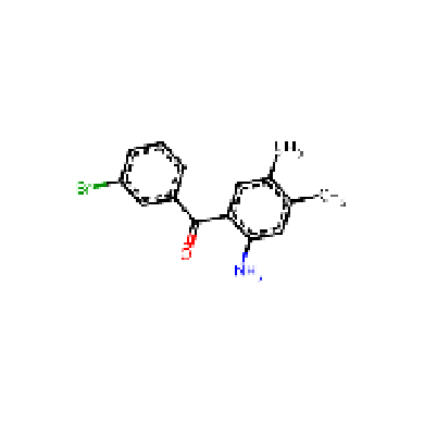 Cc1cc(N)c(C(=O)c2cccc(Br)c2)cc1C